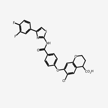 O=C(Nc1nc(-c2ccc(F)c(F)c2)cs1)c1ccc(Oc2cc3c(cc2Cl)C(C(=O)O)CCO3)cc1